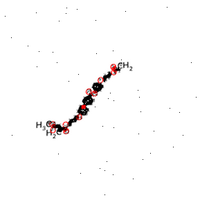 C=CC(=O)OCCCCOc1ccc(OC(=O)c2ccc(-c3ccc(OCCCCOC(=O)C(=C)CC(=O)OC)cc3)cc2)cc1